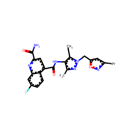 Cc1c(NC(=O)c2cc(C(N)=O)nc3cc(F)ccc23)c(C(F)(F)F)nn1Cc1cc(C(C)C)no1